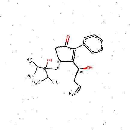 C=CC[C@H](O)C1=C(c2ccccc2)C(=O)C[C@H]1C[Si](O)(C(C)C)C(C)C